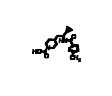 Cc1ccc(C(=O)NC(CC2CCN(C(=O)O)CC2)C2CC2)s1